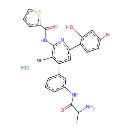 CC(N)C(=O)Nc1cccc(-c2cc(-c3ccc(Br)cc3O)nc(NC(=O)c3cccs3)c2C#N)c1.Cl